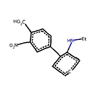 CCNc1ccccc1-c1ccc(C(=O)O)c([N+](=O)[O-])c1